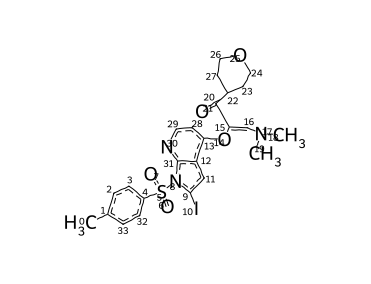 Cc1ccc(S(=O)(=O)n2c(I)cc3c(OC(=CN(C)C)C(=O)C4CCOCC4)ccnc32)cc1